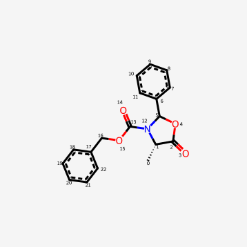 C[C@H]1C(=O)OC(c2ccccc2)N1C(=O)OCc1ccccc1